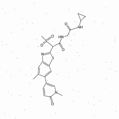 Cc1cc2nc(C(C(=O)NCC(=O)NC3CC3)S(C)(=O)=O)sc2cc1-c1ccc(=O)n(C)c1